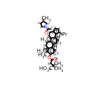 CC(C)C1CC[C@]2(CC(=O)N3CC[C@H](C)C3)CC[C@]3(C)[C@H](CC[C@@H]4[C@@]5(C)CC[C@H](OC(=O)CC(C)(C)C(=O)O)C(C)(C)[C@@H]5CC[C@]43C)[C@@H]12